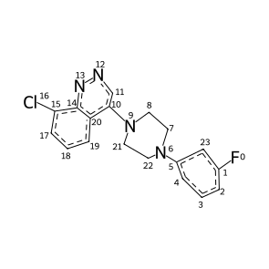 Fc1cccc(N2CCN(c3cnnc4c(Cl)cccc34)CC2)c1